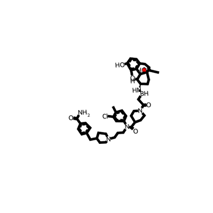 Cc1ccc(N(CCCN2CCC(Cc3ccc(C(N)=O)cc3)CC2)C(=O)C2CCN(C(=O)CBN[C@@H]3CC[C@]4(O)C5Cc6ccc(O)c7c6[C@]4(CCN5C)[C@@H]3O7)CC2)cc1Cl